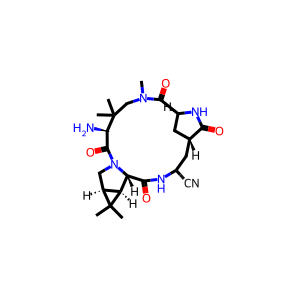 CN1CC(C)(C)[C@H](N)C(=O)N2C[C@H]3[C@@H]([C@H]2C(=O)NC(C#N)C[C@@H]2C[C@H](NC2=O)C1=O)C3(C)C